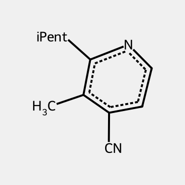 CCCC(C)c1nccc(C#N)c1C